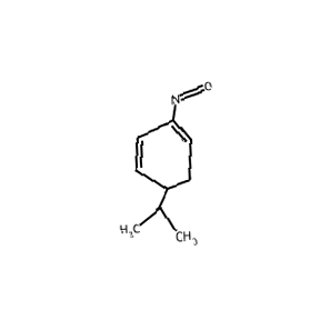 CC(C)C1C=CC(N=O)=CC1